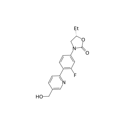 CC[C@H]1CN(c2ccc(-c3ccc(CO)cn3)c(F)c2)C(=O)O1